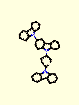 c1ccc2c(c1)c1ccccc1n2-c1ccc(-n2c3ccccc3c3cc(-n4c5ccccc5c5ccccc54)ccc32)cc1